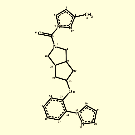 Cc1ccn(C(=O)N2CC3CC(Oc4ccccc4-n4cccn4)CC3C2)n1